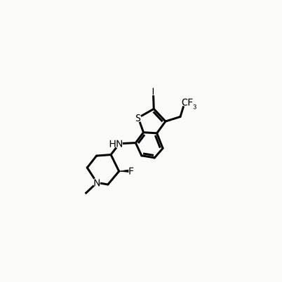 CN1CCC(Nc2cccc3c(CC(F)(F)F)c(I)sc23)[C@@H](F)C1